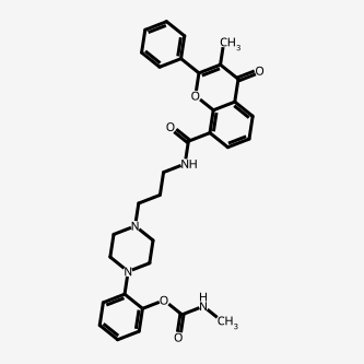 CNC(=O)Oc1ccccc1N1CCN(CCCNC(=O)c2cccc3c(=O)c(C)c(-c4ccccc4)oc23)CC1